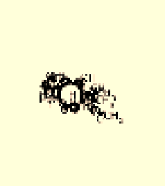 C=CC(=O)N1CC[C@H](C(=O)N(C)C(C(=O)N[C@H]2Cc3cc(O)cc(c3)-c3ccc4c(c3)c(c(-c3cncc5c3[C@@H](OC)CC5)n4CC)CC(C)(C)COC(=O)[C@@H]3CCCN(N3)C2=O)C(C)C)C1